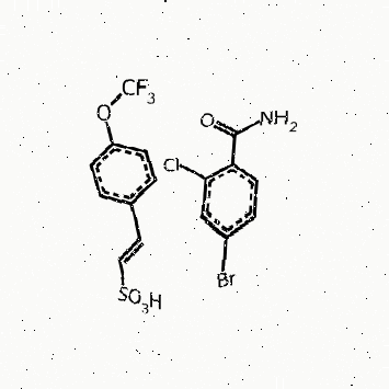 NC(=O)c1ccc(Br)cc1Cl.O=S(=O)(O)/C=C/c1ccc(OC(F)(F)F)cc1